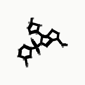 CNC1CCc2c1cn(S(=O)(=O)c1cccc(Cl)c1)c2-c1ccc(C)o1